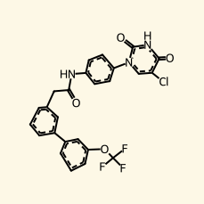 O=C(Cc1cccc(-c2cccc(OC(F)(F)F)c2)c1)Nc1ccc(-n2cc(Cl)c(=O)[nH]c2=O)cc1